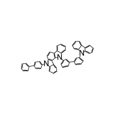 c1ccc(-c2ccc(-n3c4ccccc4c4c3ccc3c5ccccc5n(-c5cccc(-c6cccc(-n7c8ccccc8c8ccccc87)c6)c5)c34)cc2)cc1